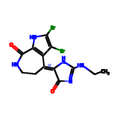 CCNC1=NC(=O)/C(=C2\CCNC(=O)c3[nH]c(Br)c(Br)c32)N1